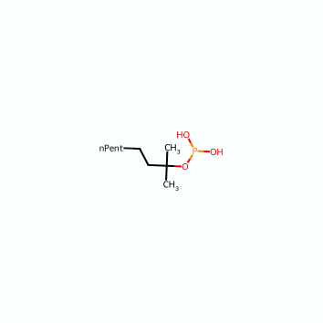 CCCCCCCC(C)(C)OP(O)O